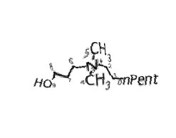 CCCCCCC[N+](C)(C)CCCO